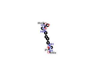 COC(=O)N[C@H](C(=O)N1CCC[C@H]1c1nc2ccc(-c3ccc4cc(-c5ccc6nc([C@@H]7CCCN7C(=O)[C@@H](NC(=O)OC)C7CCOCC7)[nH]c6c5)ccc4c3)cc2[nH]1)C(C)C